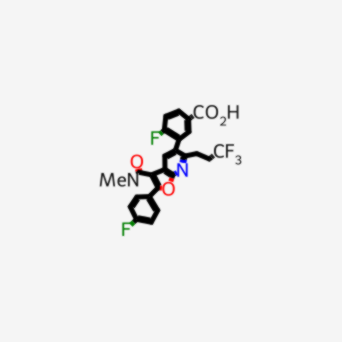 CNC(=O)c1c(-c2ccc(F)cc2)oc2nc(CCC(F)(F)F)c(-c3cc(C(=O)O)ccc3F)cc12